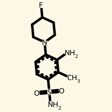 Cc1c(S(N)(=O)=O)ccc(N2CCC(F)CC2)c1N